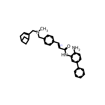 CN(CC1=CCC2CC1C2)Cc1ccc(/C=C/C(=O)Nc2cc(-c3ccccc3)ccc2N)cc1